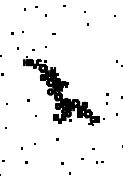 CCCOc1c(NC(=O)c2ccc(NC(=O)[C@H](CC(N)=O)NC(=O)c3cccc(NC(=O)c4ccc(C#N)cc4)c3)cc2)ccc(C(=O)Nc2ccc(C(=O)O)cc2)c1O